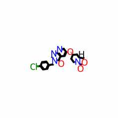 O=C1OC[C@@H]2C[C@@H](Oc3cnc4ncn(Cc5ccc(Cl)cc5)c(=O)c4c3)CCN12